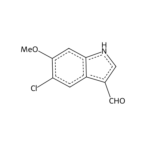 COc1cc2[nH]cc(C=O)c2cc1Cl